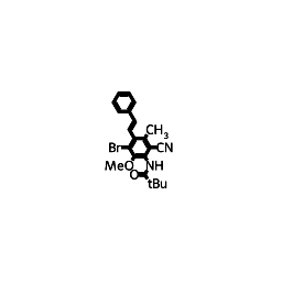 COc1c(Br)c(C=Cc2ccccc2)c(C)c(C#N)c1NC(=O)C(C)(C)C